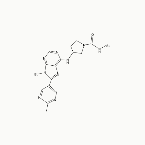 CCCCNC(=O)N1CCC(Nc2ncnc3c2nc(-c2cnc(C)nc2)n3CC)C1